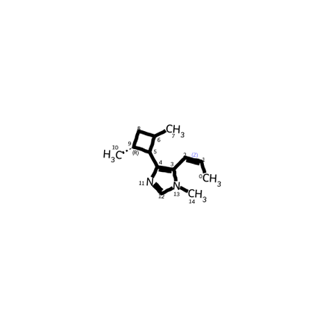 C/C=C\c1c(C2C(C)C[C@H]2C)ncn1C